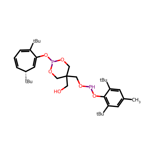 Cc1cc(C(C)(C)C)c(OPOCC2(CO)COP(OC3=C[C@H](C(C)(C)C)C=CC=C3C(C)(C)C)OC2)c(C(C)(C)C)c1